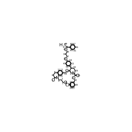 COCCCN1C(=O)CCc2ccc(COC3CN(C(=O)OCc4ccccc4)CCC3c3ccc(OCCCOC(C)c4ccccc4)cc3)cc21